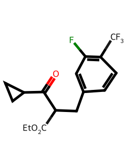 CCOC(=O)C(Cc1ccc(C(F)(F)F)c(F)c1)C(=O)C1CC1